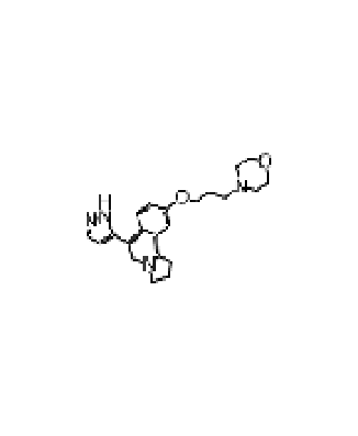 c1cc(C2=c3ccc(OCCCN4CCOCC4)cc3=C3CCCN3C2)[nH]n1